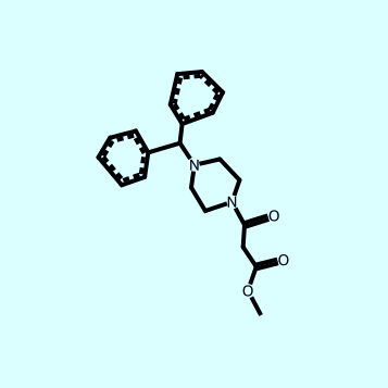 COC(=O)CC(=O)N1CCN(C(c2ccccc2)c2ccccc2)CC1